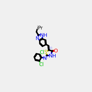 CC(C)Cc1nc2ccc(/C=C3\S/C(=N\c4c(Cl)cccc4Cl)NC3=O)cc2[nH]1